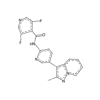 Cc1nn2ccccc2c1-c1ccc(NC(=O)c2c(F)cncc2F)nc1